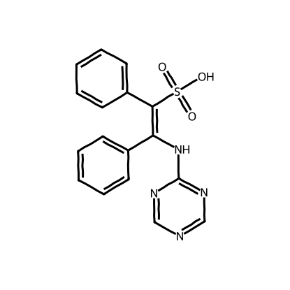 O=S(=O)(O)C(=C(Nc1ncncn1)c1ccccc1)c1ccccc1